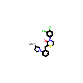 CNC1CCN(c2ccccc2/C=C2\SCCN(c3ccc(Cl)c(Cl)c3)C2=O)C1